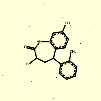 Cc1ccc2c(c1)NC(=O)C(Br)CC2c1ccccc1C